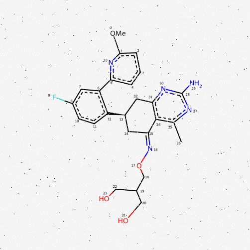 COc1cccc(-c2cc(F)ccc2[C@@H]2C/C(=N\OCC(CO)CO)c3c(C)nc(N)nc3C2)n1